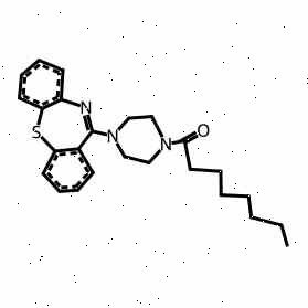 CCCCCCCC(=O)N1CCN(C2=Nc3ccccc3Sc3ccccc32)CC1